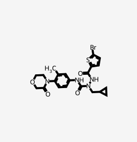 Cc1cc(NC(=O)N(CC2CC2)NC(=O)c2ccc(Br)s2)ccc1N1CCOCC1=O